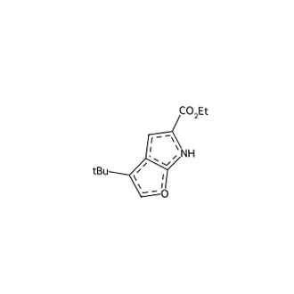 CCOC(=O)c1cc2c(C(C)(C)C)coc2[nH]1